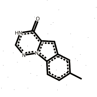 Cc1ccc2c(c1)cc1c(=O)[nH]cnn12